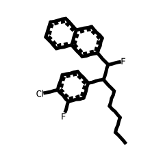 CCCCCC(c1ccc(Cl)c(F)c1)C(F)c1ccc2ccccc2c1